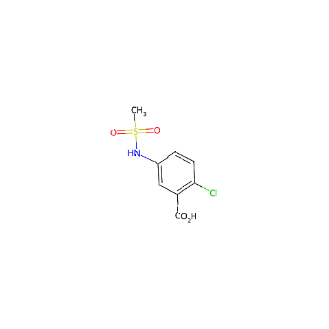 CS(=O)(=O)Nc1ccc(Cl)c(C(=O)O)c1